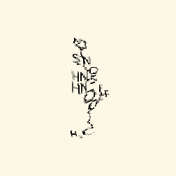 CCCCCOc1ccc(NC(=S)NC(=O)C2CSC(c3cccnc3)=N2)cc1C(F)(F)F